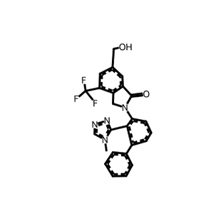 Cn1cnnc1-c1c(-c2ccccc2)cccc1N1Cc2c(cc(CO)cc2C(F)(F)F)C1=O